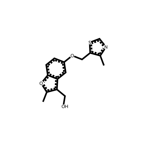 Cc1ncsc1COc1ccc2oc(C)c(CO)c2c1